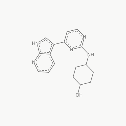 OC1CCC(Nc2nccc(-c3c[nH]c4ncccc34)n2)CC1